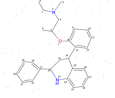 CCN(C)CC(C)Oc1ccccc1C1CC(c2ccccc2)Nc2ccccc21